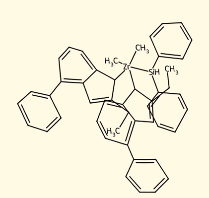 CCC1=Cc2c(-c3ccccc3)cccc2[CH]1[Zr]([CH3])([CH3])([CH]1C(CC)=Cc2c(-c3ccccc3)cccc21)[SiH](c1ccccc1)c1ccccc1